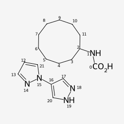 O=C(O)NC1CCCCCCCCC1.c1cnn(-c2cn[nH]c2)c1